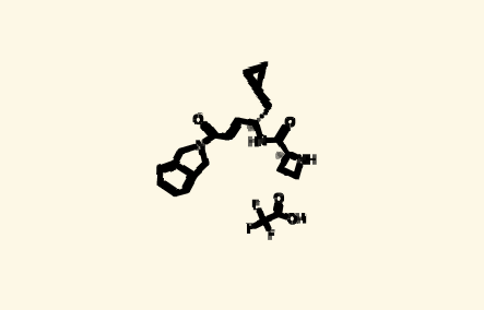 O=C(N[C@H](C=CC(=O)N1Cc2ccccc2C1)CC1CC1)[C@@H]1CCN1.O=C(O)C(F)(F)F